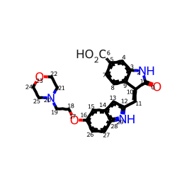 O=C1Nc2cc(C(=O)O)ccc2/C1=C\c1cc2cc(OCCN3CCOCC3)ccc2[nH]1